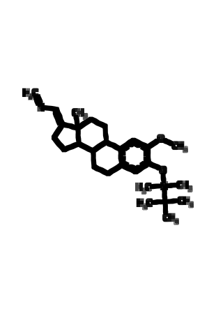 C=N/C=C1\CCC2C3CCc4cc(O[Si](C)(C)C(C)(C)C)c(OC)cc4C3CCC12C